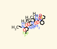 C=CCNC(=O)C(=O)C(CCC(F)(F)F)NC(=O)C(N)N(CCC)C(=O)[C@@H](NC(=O)NC1(C2CCCS2(=O)=O)CCCCC1)C(C)(C)C